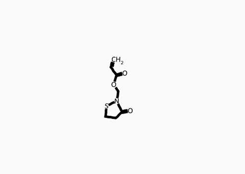 C=CC(=O)OCN1SCCC1=O